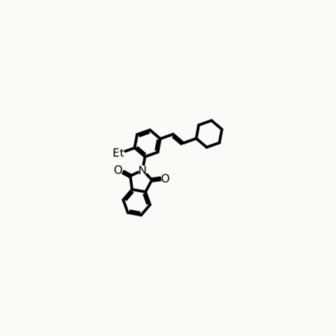 CCc1ccc(C=CC2CCCCC2)cc1N1C(=O)c2ccccc2C1=O